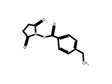 CCc1ccc(C(=O)ON2C(=O)CCC2=O)cc1